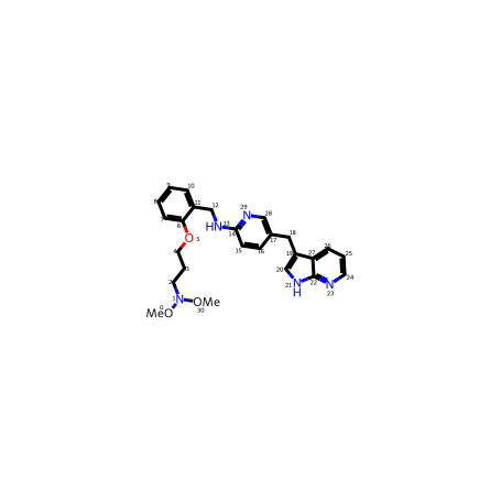 CON(CCCOc1ccccc1CNc1ccc(Cc2c[nH]c3ncccc23)cn1)OC